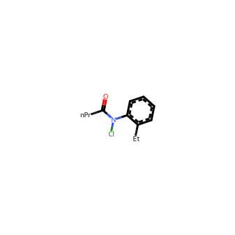 CCCC(=O)N(Cl)c1ccccc1CC